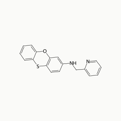 c1ccc(CNc2ccc3c(c2)Oc2ccccc2S3)nc1